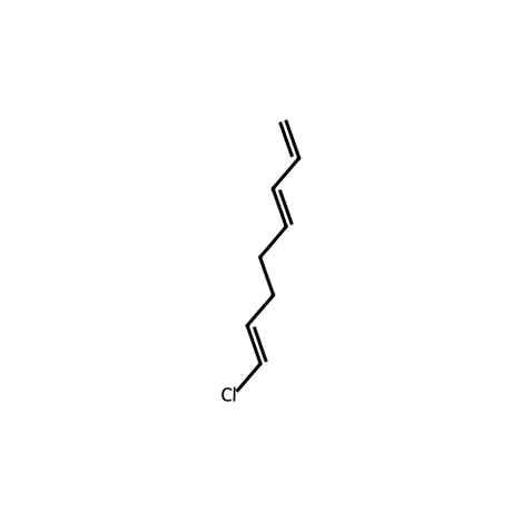 C=CC=CCCC=CCl